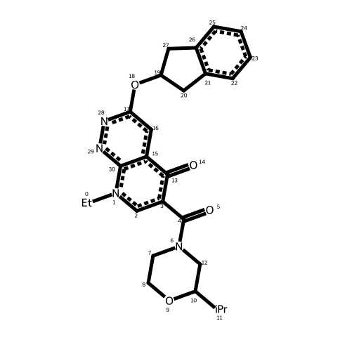 CCn1cc(C(=O)N2CCOC(C(C)C)C2)c(=O)c2cc(OC3Cc4ccccc4C3)nnc21